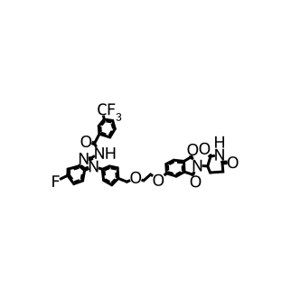 O=C1CCC(N2C(=O)c3ccc(OCCOCc4ccc(-n5c(NC(=O)c6cccc(C(F)(F)F)c6)nc6cc(F)ccc65)cc4)cc3C2=O)C(=O)N1